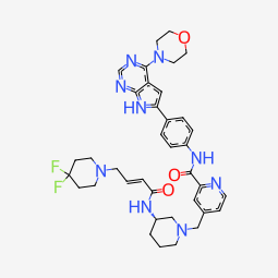 O=C(/C=C/CN1CCC(F)(F)CC1)N[C@@H]1CCCN(Cc2ccnc(C(=O)Nc3ccc(-c4cc5c(N6CCOCC6)ncnc5[nH]4)cc3)c2)C1